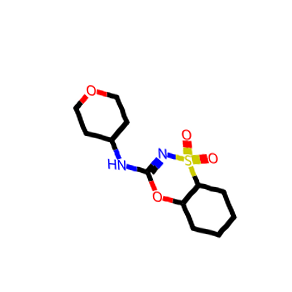 O=S1(=O)N=C(NC2CCOCC2)OC2CCCCC21